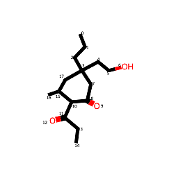 CCCC1(CCO)CC(=O)C(C(=O)CC)C(C)C1